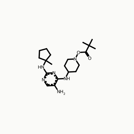 CC1(Nc2ncc(N)c(NC3CCN(OC(=O)C(C)(C)C)CC3)n2)CCCC1